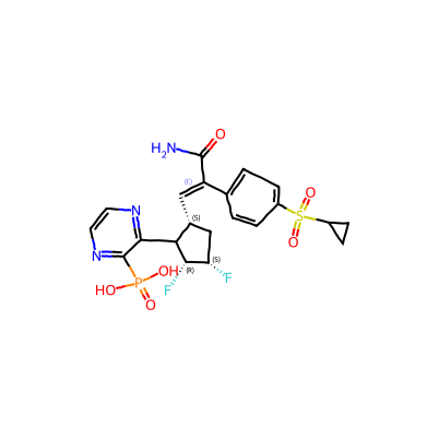 NC(=O)/C(=C/[C@@H]1C[C@H](F)[C@H](F)C1c1nccnc1P(=O)(O)O)c1ccc(S(=O)(=O)C2CC2)cc1